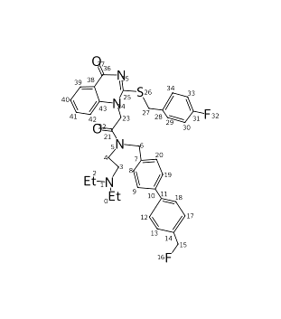 CCN(CC)CCN(Cc1ccc(-c2ccc(CF)cc2)cc1)C(=O)Cn1c(SCc2ccc(F)cc2)nc(=O)c2ccccc21